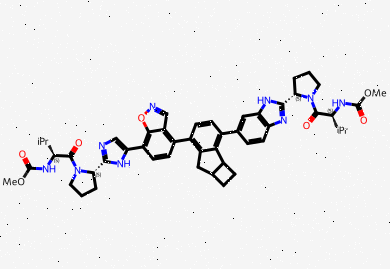 COC(=O)N[C@H](C(=O)N1CCC[C@H]1c1ncc(-c2ccc(-c3ccc(-c4ccc5nc([C@@H]6CCCN6C(=O)[C@@H](NC(=O)OC)C(C)C)[nH]c5c4)c4c3CC3CCC43)c3cnoc23)[nH]1)C(C)C